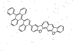 c1ccc(-c2c3ccccc3c(-c3ccc(-c4ccc5oc6c7cc8oc9ccccc9c8cc7ccc6c5c4)c4ccccc34)c3ccccc23)cc1